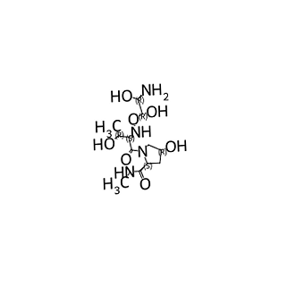 CNC(=O)[C@@H]1C[C@@H](O)CN1C(=O)[C@@H](NO[C@@H](O)[C@H](N)O)[C@@H](C)O